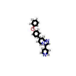 c1ccc(Oc2ccc(-c3ccn4c(-c5ccncc5)cnc4c3)cc2)cc1